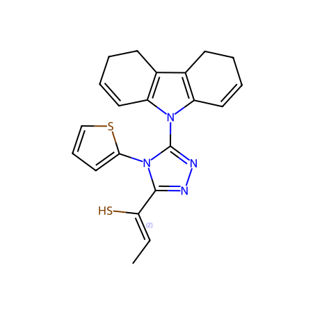 C/C=C(\S)c1nnc(-n2c3c(c4c2C=CCC4)CCC=C3)n1-c1cccs1